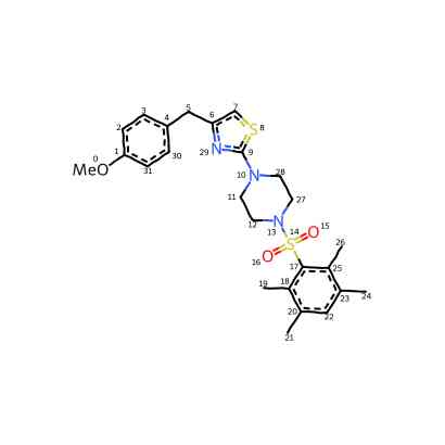 COc1ccc(Cc2csc(N3CCN(S(=O)(=O)c4c(C)c(C)cc(C)c4C)CC3)n2)cc1